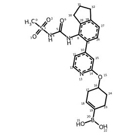 CS(=O)(=O)NC(=O)Nc1c(-c2ccnc(OC3CC=C(B(O)O)CC3)c2)ccc2c1CCC2